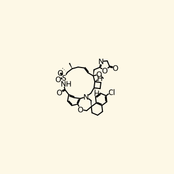 CO[C@@]1(CC2=NCC(=O)O2)/C=C/C[C@H](C)[C@@H](C)S(=O)(=O)NC(=O)c2ccc3c(c2)N(C[C@@H]2CC[C@H]21)C[C@@]1(CCCc2cc(Cl)ccc21)CO3